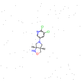 Clc1cc(N2C[C@@H]3CON[C@@H]3C2)cnc1Cl